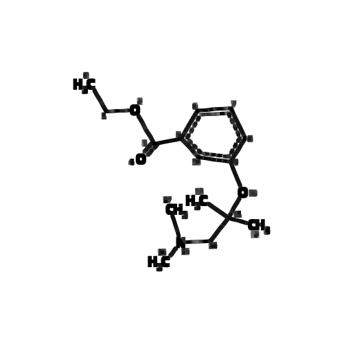 CCOC(=O)c1cccc(OC(C)(C)CN(C)C)c1